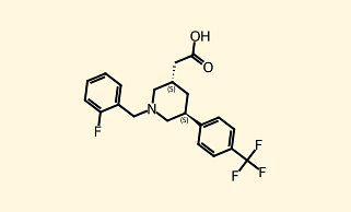 O=C(O)C[C@@H]1C[C@@H](c2ccc(C(F)(F)F)cc2)CN(Cc2ccccc2F)C1